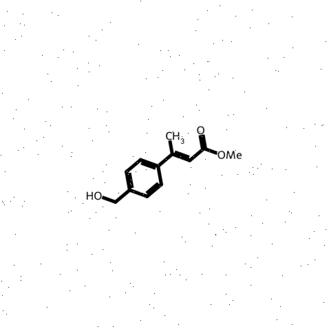 COC(=O)/C=C(\C)c1ccc(CO)cc1